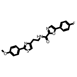 COc1ccc(-c2nc(CCNC(=O)c3ncc(-c4ccc(F)cc4)o3)cs2)cc1